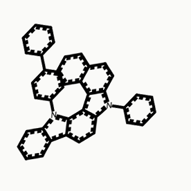 c1ccc(-c2ccc(-n3c4ccccc4c4ccc5c(c6c7ccccc7ccc6n5-c5ccccc5)c43)cc2)cc1